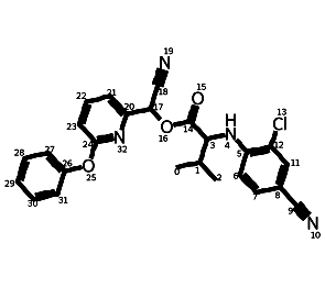 CC(C)C(Nc1ccc(C#N)cc1Cl)C(=O)OC(C#N)c1cccc(Oc2ccccc2)n1